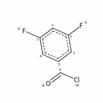 Fc1cccc(F)c1.O=CCl